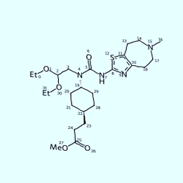 CCOC(CN(C(=O)Nc1nc2c(s1)CCN(C)CC2)[C@H]1CC[C@H](CCC(=O)OC)CC1)OCC